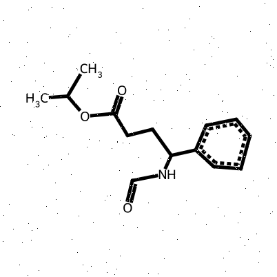 CC(C)OC(=O)CCC(NC=O)c1ccccc1